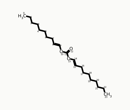 CCCCCCCCC=COC(=O)OC=CCCCCCCCC